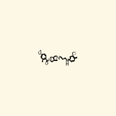 COc1ccc(C(=O)N2CC3CN(CCCNc4ccc(C)c(Cl)c4)CC3C2)c(C)c1